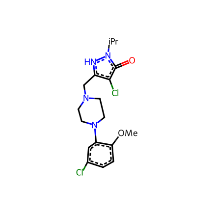 COc1ccc(Cl)cc1N1CCN(Cc2[nH]n(C(C)C)c(=O)c2Cl)CC1